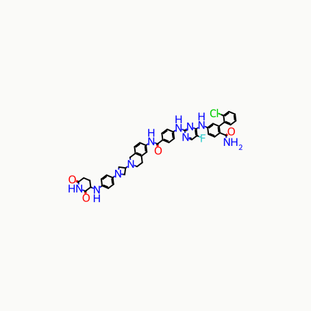 NC(=O)c1ccc(Nc2nc(Nc3ccc(C(=O)Nc4ccc5c(c4)CCN(C4CN(c6ccc(NC7CCC(=O)NC7=O)cc6)C4)C5)cc3)ncc2F)cc1-c1ccccc1Cl